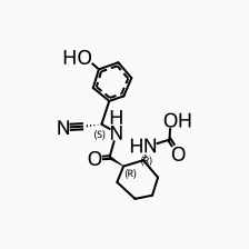 N#C[C@@H](NC(=O)[C@@H]1CCCC[C@H]1NC(=O)O)c1cccc(O)c1